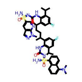 CC(C)c1cc(F)cc(C(C)CCC(C)c2cc(F)cc(C(C)C)c2NC(=O)N=S(N)(=O)c2cccc3c(N(C)C)cccc23)c1NC(=O)N=S(N)(=O)c1cnc2c(cnn2C)c1